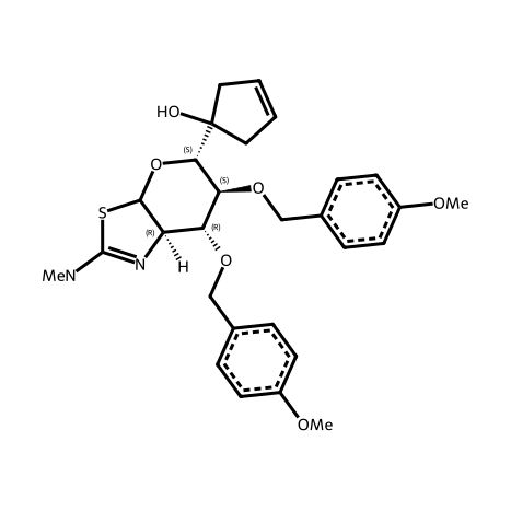 CNC1=N[C@H]2C(O[C@H](C3(O)CC=CC3)[C@@H](OCc3ccc(OC)cc3)[C@@H]2OCc2ccc(OC)cc2)S1